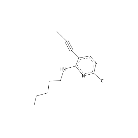 CC#Cc1cnc(Cl)nc1NCCCCC